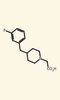 O=C(O)CN1CCC(Cc2cccc(F)c2)CC1